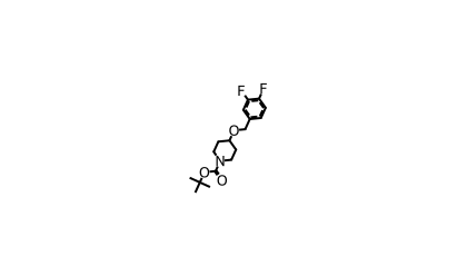 CC(C)(C)OC(=O)N1CCC(OCc2ccc(F)c(F)c2)CC1